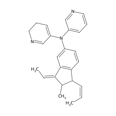 C/C=C\C1c2ccc(N(C3=CCCN=C3)c3cccnc3)cc2/C(=C\C)C1C